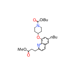 CCCCc1cc(OC2CCN(C(=O)OCC(C)C)CC2)c2nc(CCC(=O)OC)ccc2c1